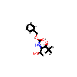 CC(O)C(NC(=O)OCc1ccccc1)C(=O)C(C)(C)C